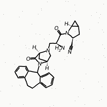 N#C[C@@H]1CC2C[C@@H]2N1C(=O)[C@@H](N)CN1C[C@@H]2C[C@H]1C(=O)N2C1c2ccccc2CCc2ccccc21